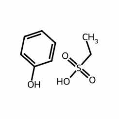 CCS(=O)(=O)O.Oc1ccccc1